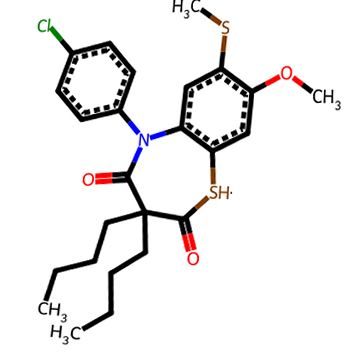 CCCCC1(CCCC)C(=O)[SH]c2cc(OC)c(SC)cc2N(c2ccc(Cl)cc2)C1=O